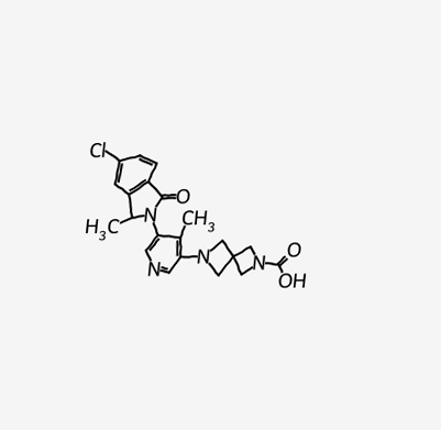 Cc1c(N2CC3(CN(C(=O)O)C3)C2)cncc1N1C(=O)c2ccc(Cl)cc2C1C